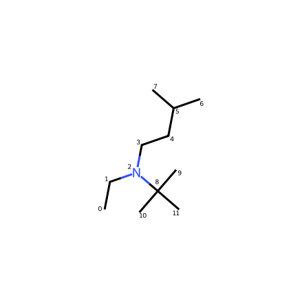 CCN(CCC(C)C)C(C)(C)C